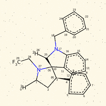 [2H]C1C[C@H](c2ccccc2)[C@@]2(c3ccccc3N(Cc3ccccc3)C2[2H])N1CC(F)(F)F